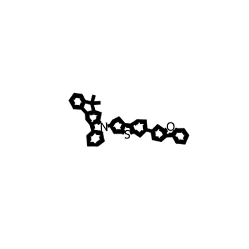 CC1(C)c2ccccc2-c2cc3c4ccccc4n(-c4ccc5c(c4)sc4cc(-c6ccc7c(c6)oc6ccccc67)ccc45)c3cc21